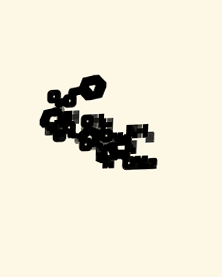 COc1nc(N)nc2c1ncn2[C@@H]1O[C@H](COP2(=O)N[C@@H](C(=O)OCc3ccccc3)CCS2)[C@@H](O)[C@@]1(C)O